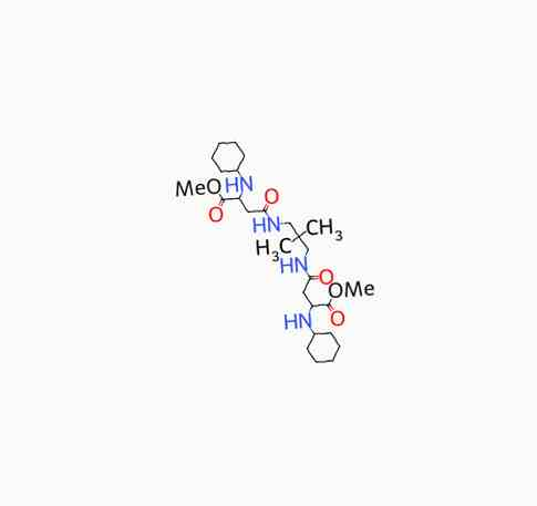 COC(=O)C(CC(=O)NCC(C)(C)CNC(=O)CC(NC1CCCCC1)C(=O)OC)NC1CCCCC1